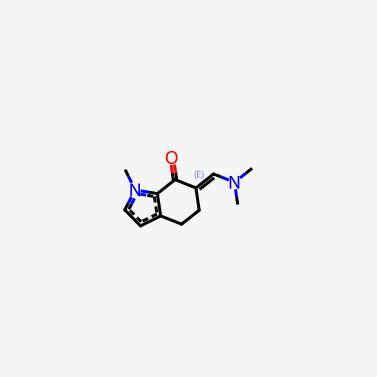 CN(C)/C=C1\CCc2ccn(C)c2C1=O